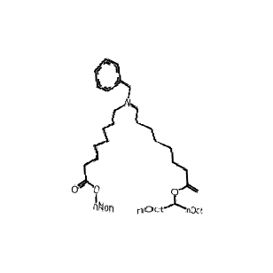 C=C(CCCCCCCN(CCCCCCCC(=O)OCCCCCCCCC)Cc1ccccc1)OC(CCCCCCCC)CCCCCCCC